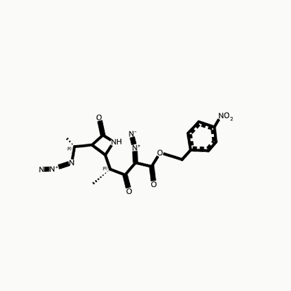 C[C@@H](N=[N+]=[N-])C1C(=O)NC1[C@@H](C)C(=O)C(=[N+]=[N-])C(=O)OCc1ccc([N+](=O)[O-])cc1